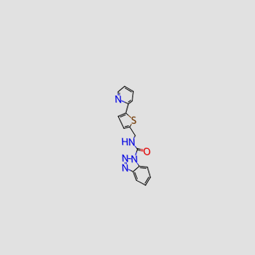 O=C(NCc1ccc(-c2ccccn2)s1)n1nnc2ccccc21